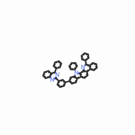 c1ccc(-c2nc(-c3cccc(-c4ccc5c6ccc7c8ccccc8c(-c8ccccc8)nc7c6n(-c6ccccc6)c5c4)c3)nc3ccccc23)cc1